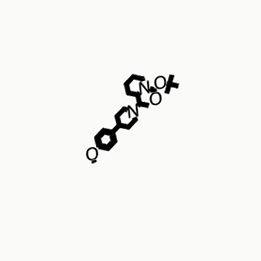 COc1ccc(C2CCN(C(C)C3CCCCN3C(=O)OC(C)(C)C)CC2)cc1